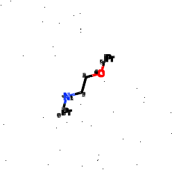 CC(C)[N]CCOC(C)C